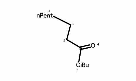 CCCCCCCC(=O)OCC(C)C